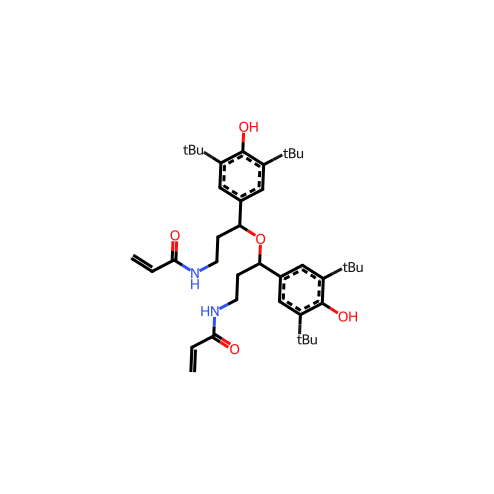 C=CC(=O)NCCC(OC(CCNC(=O)C=C)c1cc(C(C)(C)C)c(O)c(C(C)(C)C)c1)c1cc(C(C)(C)C)c(O)c(C(C)(C)C)c1